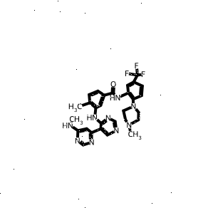 CNc1cc(-c2cncnc2Nc2cc(C(=O)Nc3cc(C(F)(F)F)ccc3N3CCN(C)CC3)ccc2C)ncn1